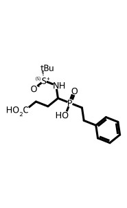 CC(C)(C)[S@@+]([O-])NC(CCC(=O)O)P(=O)(O)CCc1ccccc1